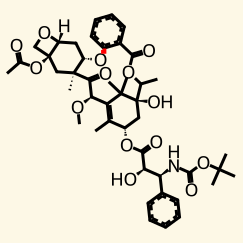 CO[C@@H](C(=O)[C@@]1(C)C[C@]2(OC(C)=O)CO[C@@H]2C[C@@H]1OC)C1=C(C)[C@@H](OC(=O)[C@H](O)[C@@H](NC(=O)OC(C)(C)C)c2ccccc2)C[C@@](O)(C(C)OC(=O)c2ccccc2)C1(C)C